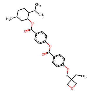 CCC1(COc2ccc(C(=O)Oc3ccc(C(=O)OC4CC(C)CCC4C(C)C)cc3)cc2)COC1